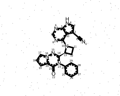 N#Cc1c[nH]c2ncnc(N3CC[C@H]3c3nn4cccc4c(=O)n3-c3ccccc3)c12